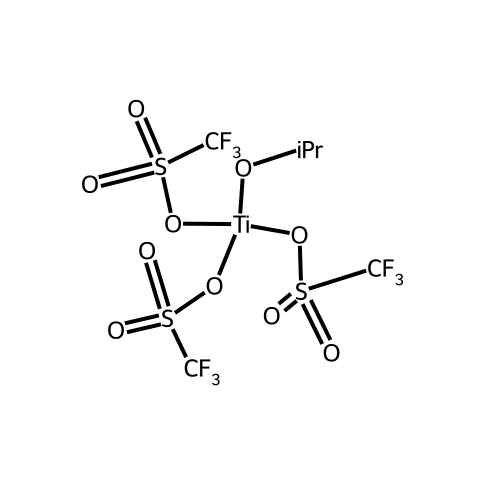 CC(C)[O][Ti]([O]S(=O)(=O)C(F)(F)F)([O]S(=O)(=O)C(F)(F)F)[O]S(=O)(=O)C(F)(F)F